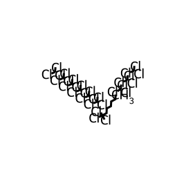 CCCCCCC(Cl)(Cl)Cl.ClC(Cl)Cl.ClC(Cl)Cl.ClC(Cl)Cl.ClC(Cl)Cl.ClC(Cl)Cl.ClC(Cl)Cl.ClC(Cl)Cl.ClC(Cl)Cl.ClC(Cl)Cl